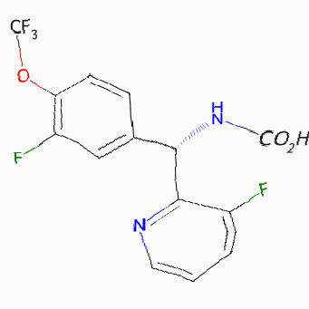 O=C(O)N[C@@H](c1ccc(OC(F)(F)F)c(F)c1)c1ncccc1F